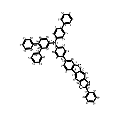 c1ccc(-c2ccc(N(c3ccc(-c4ccc5c(c4)oc4cc6nc(-c7ccccc7)oc6cc45)cc3)c3ccc(-c4ccccc4)c(-c4ccccc4)c3)cc2)cc1